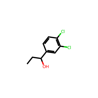 CCC(O)c1ccc(Cl)c(Cl)c1